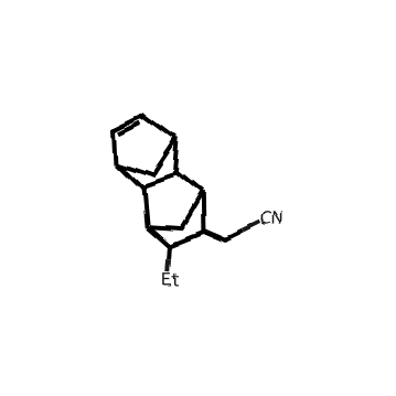 CCC1C(CC#N)C2CC1C1C3C=CC(C3)C21